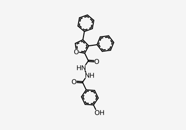 O=C(NNC(=O)c1occ(-c2ccccc2)c1-c1ccccc1)c1ccc(O)cc1